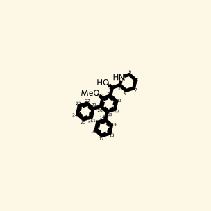 COc1c(C(O)C2CCCCN2)ccc(-c2ccccc2)c1-c1ccccc1